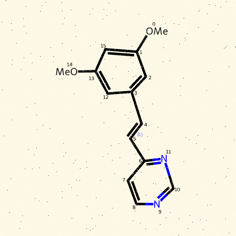 COc1cc(/C=C/c2ccncn2)cc(OC)c1